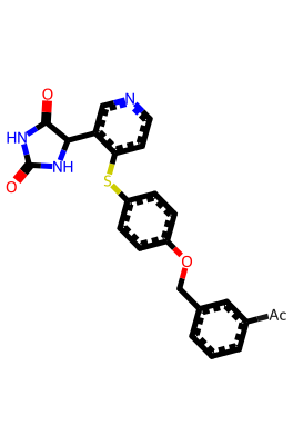 CC(=O)c1cccc(COc2ccc(Sc3ccncc3C3NC(=O)NC3=O)cc2)c1